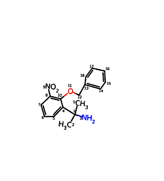 CC(C)(N)c1cccc([N+](=O)[O-])c1OCc1ccccc1